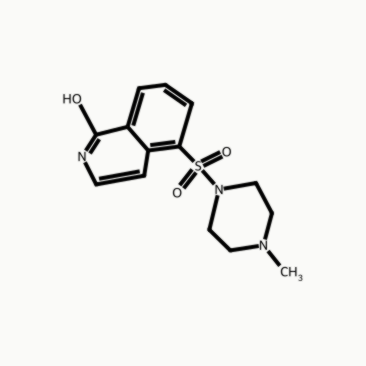 CN1CCN(S(=O)(=O)c2cccc3c(O)nccc23)CC1